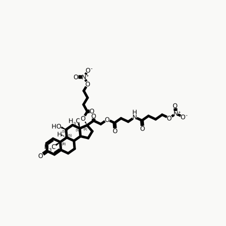 C[C@]12C=CC(=O)C=C1CCC1C3CC[C@](OC(=O)CCCO[N+](=O)[O-])(C(=O)COC(=O)CCNC(=O)CCCO[N+](=O)[O-])[C@@]3(C)C[C@H](O)[C@@H]12